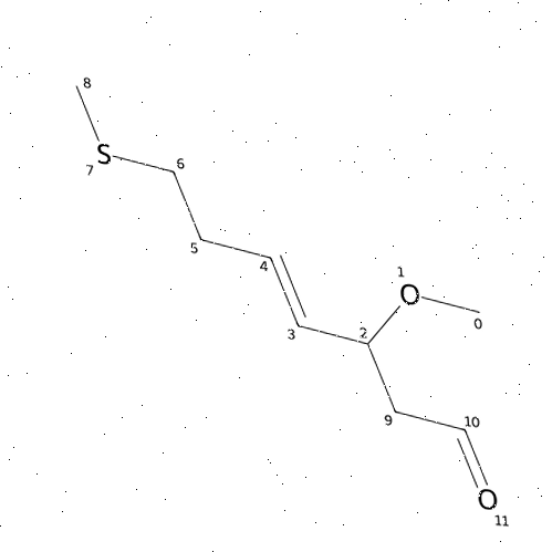 COC(/C=C/CCSC)CC=O